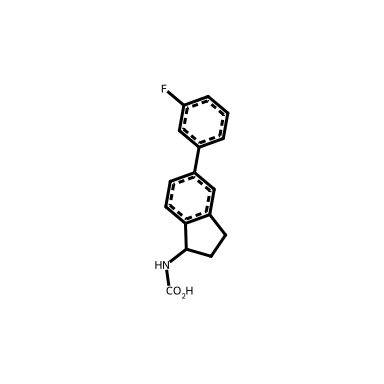 O=C(O)NC1CCc2cc(-c3cccc(F)c3)ccc21